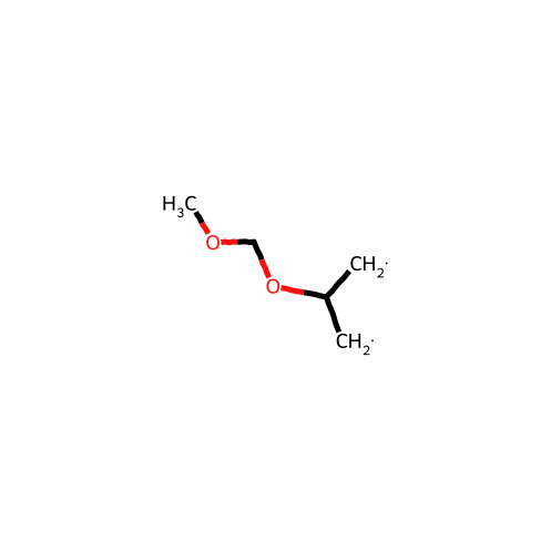 [CH2]C([CH2])OCOC